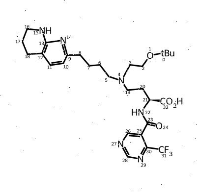 CC(C)(C)OCCN(CCCCc1ccc2c(n1)NCCC2)CC[C@H](NC(=O)c1cncnc1C(F)(F)F)C(=O)O